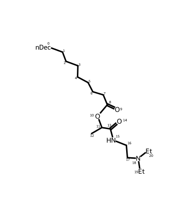 CCCCCCCCCCCCCCCCCC(=O)OC(C)C(=O)NCCN(CC)CC